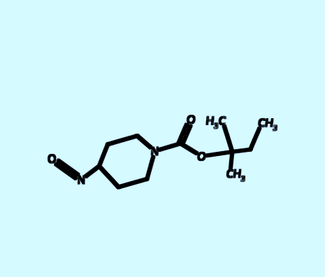 CCC(C)(C)OC(=O)N1CCC(N=O)CC1